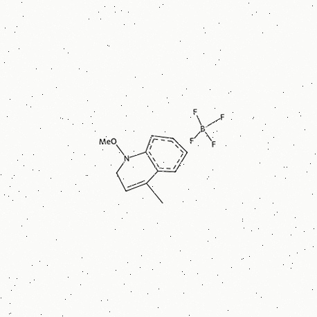 CON1CC=C(C)c2ccccc21.F[B-](F)(F)F